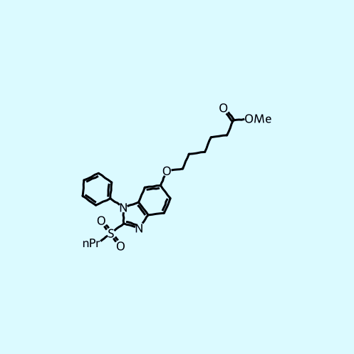 CCCS(=O)(=O)c1nc2ccc(OCCCCCC(=O)OC)cc2n1-c1ccccc1